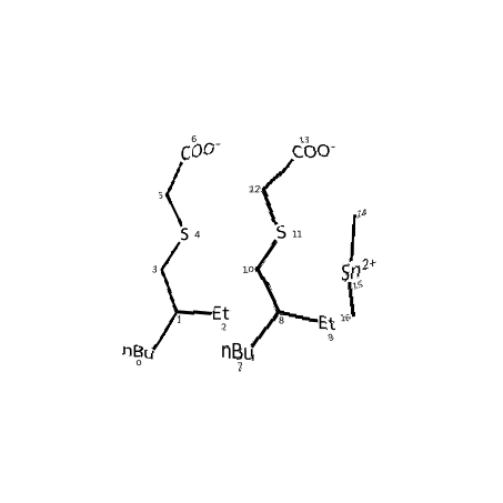 CCCCC(CC)CSCC(=O)[O-].CCCCC(CC)CSCC(=O)[O-].[CH3][Sn+2][CH3]